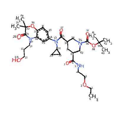 CCOCCNC(=O)C1CC(C(=O)N(c2ccc3c(c2)N(CCCO)C(=O)C(C)(C)O3)C2CC2)CN(C(=O)OC(C)(C)C)C1